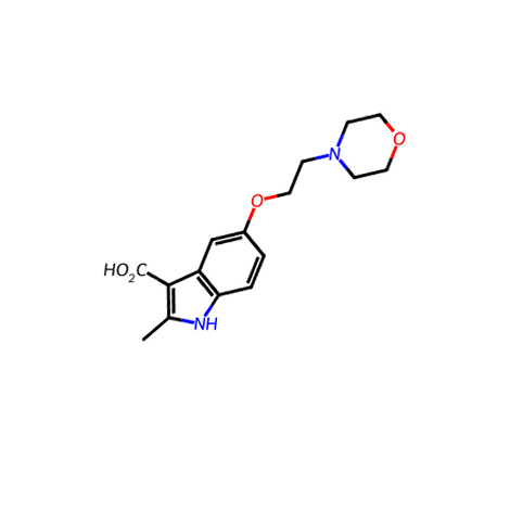 Cc1[nH]c2ccc(OCCN3CCOCC3)cc2c1C(=O)O